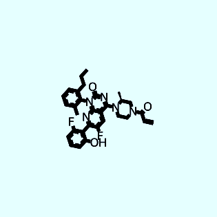 C=CC(=O)N1CCN(c2nc(=O)n(-c3c(C)cccc3CCC)c3nc(-c4c(O)cccc4F)c(F)cc23)[C@@H](C)C1